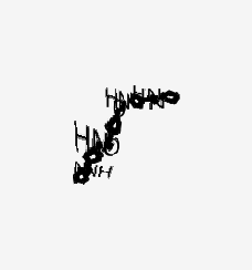 O=C(Nc1ccc(-c2nc3ccccc3[nH]2)cc1)c1ccc(OCNc2ccc(-c3nc4ccccc4[nH]3)cc2)cc1